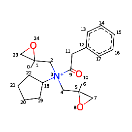 CC1(C[N+](CC2(C)CO2)(C(=O)Cc2ccccc2)C2CCCC2)CO1